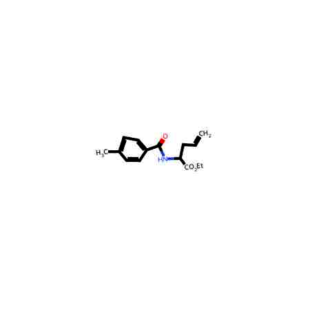 C=CCC(NC(=O)c1ccc(C)cc1)C(=O)OCC